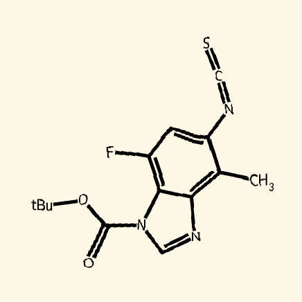 Cc1c(N=C=S)cc(F)c2c1ncn2C(=O)OC(C)(C)C